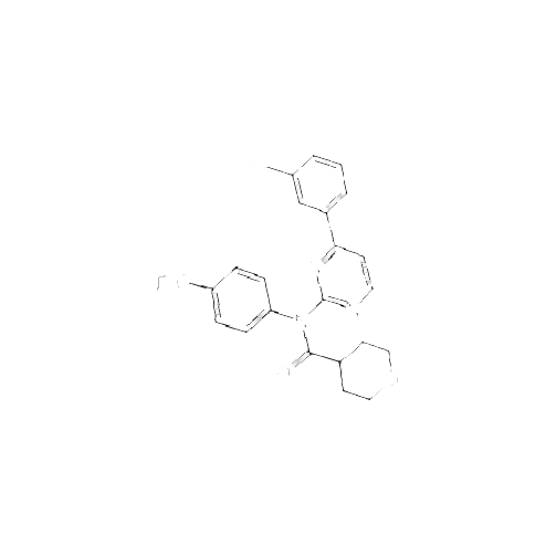 O=C(C1CCOCC1)N(c1ccc(C(F)(F)F)cc1)c1nccc(-c2cccc(Cl)c2)n1